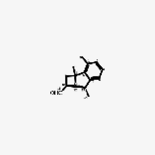 Cc1cccc2c1C1(C)CC3(C=O)N1[C@]23C